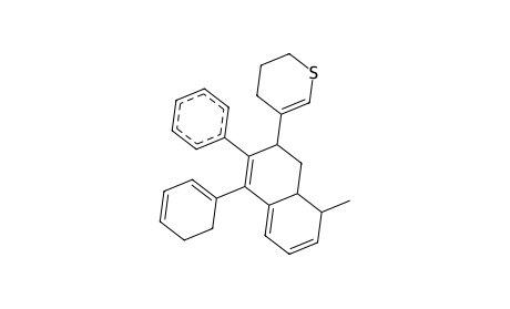 CC1C=CC=C2C(C3=CC=CCC3)=C(c3ccccc3)C(C3=CSCCC3)CC21